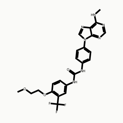 CNc1ncnc2c1ncn2-c1ccc(NC(=O)Nc2ccc(OCCOC)c(C(F)(F)F)c2)cc1